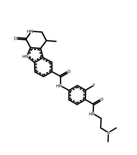 CC1CNC(=O)c2[nH]c3ccc(C(=O)Nc4ccc(C(=O)NCCN(C)C)c(F)c4)cc3c21